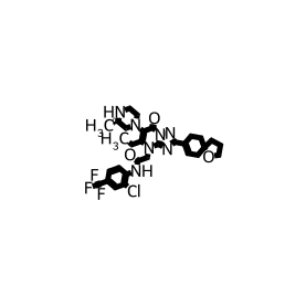 CCc1c(N2CCN[C@H](C)C2)c(=O)n2nc(C3=CCC4(CCCO4)CC3)nc2n1CC(=O)Nc1ccc(C(F)(F)F)cc1Cl